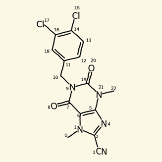 Cn1c(C#N)nc2c1c(=O)n(Cc1ccc(Cl)c(Cl)c1)c(=O)n2C